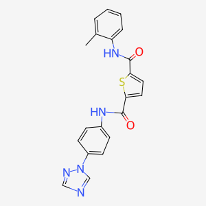 Cc1ccccc1NC(=O)c1ccc(C(=O)Nc2ccc(-n3cncn3)cc2)s1